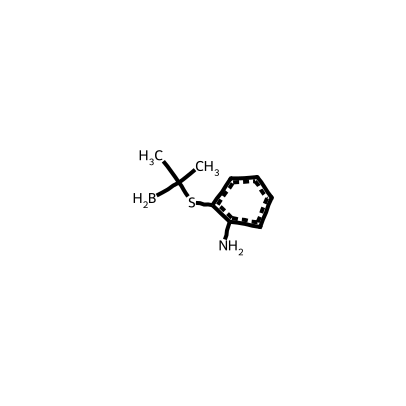 BC(C)(C)Sc1ccccc1N